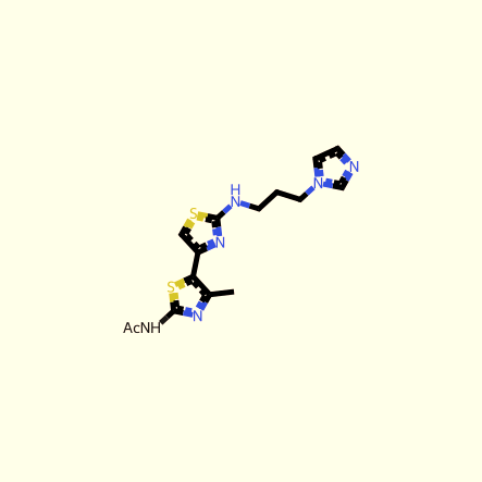 CC(=O)Nc1nc(C)c(-c2csc(NCCCn3ccnc3)n2)s1